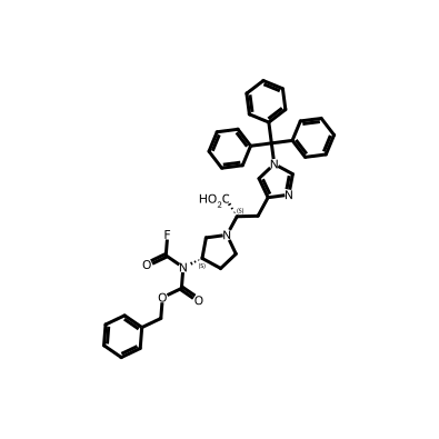 O=C(O)[C@H](Cc1cn(C(c2ccccc2)(c2ccccc2)c2ccccc2)cn1)N1CC[C@H](N(C(=O)F)C(=O)OCc2ccccc2)C1